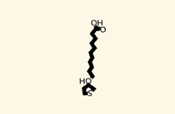 C1CCSC1.O=C(O)CCCCCCCCCCO